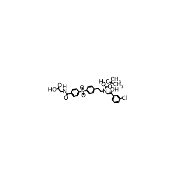 CC(C)(C)OC(=O)N(CCc1ccc(S(=O)(=O)c2ccc(C(=O)NCC(=O)O)cc2)cc1)C[C@@H](O)c1cccc(Cl)c1